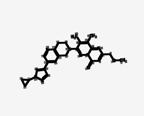 COCc1cc(=O)n2nc(N3CCc4ncc(-c5cnn(C6CC6)c5)cc4C3)c(C)c(C)c2n1